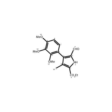 CCOC(=O)c1[nH]c(C=O)c(-c2ccc(OC)c(OC)c2OC)c1I